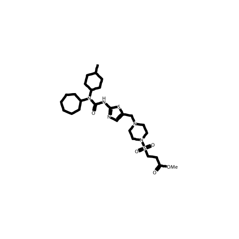 COC(=O)CCS(=O)(=O)N1CCN(Cc2cnc(NC(=O)N(C3CCCCCC3)C3CCC(C)CC3)s2)CC1